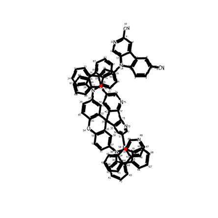 N#Cc1ccc2c(c1)c1cc(C#N)ncc1n2-c1ccc2c(c1)c1ccccc1n2-c1ccc2c(c1)C1(c3cc(-n4c5ccccc5c5ccncc54)ccc3O2)c2cc(-n3c4ccccc4c4ccccc43)cnc2-c2ncc(-n3c4ccccc4c4ccccc43)cc21